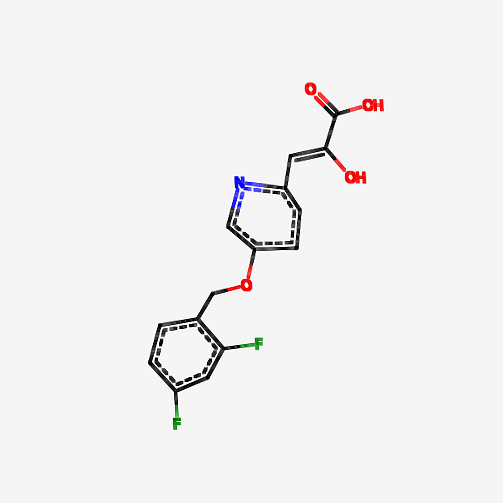 O=C(O)C(O)=Cc1ccc(OCc2ccc(F)cc2F)cn1